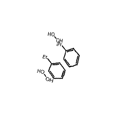 CC(C)c1ccccc1.CCc1ccccc1.OO.OO